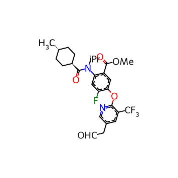 COC(=O)c1cc(Oc2ncc(CC=O)cc2C(F)(F)F)c(F)cc1N(C(=O)[C@H]1CC[C@H](C)CC1)C(C)C